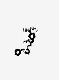 CCn1c(CC[C@@H]2CCCN2Cc2ccccc2)cc2ccc(C(=N)N)cc21